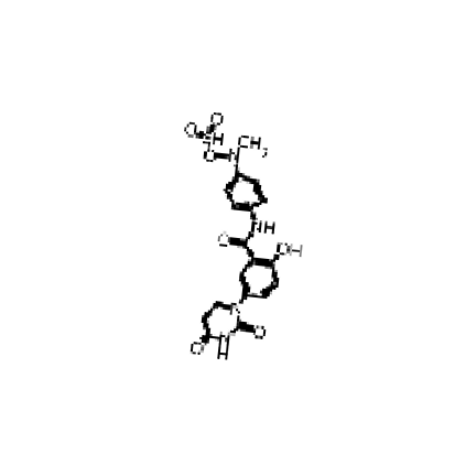 CN(O[SH](=O)=O)c1ccc(NC(=O)c2cc(N3CCC(=O)NC3=O)ccc2O)cc1